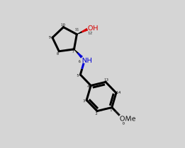 COc1ccc(CN[C@H]2CCC[C@H]2O)cc1